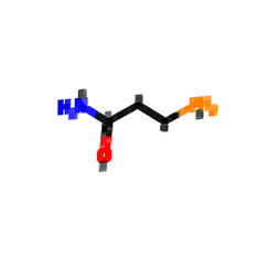 NC(=O)CCP